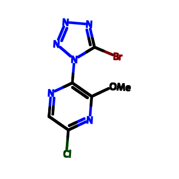 COc1nc(Cl)cnc1-n1nnnc1Br